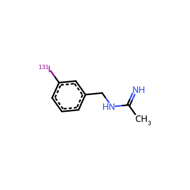 CC(=N)NCc1cccc([131I])c1